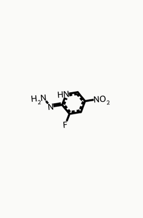 NN=c1[nH]cc([N+](=O)[O-])cc1F